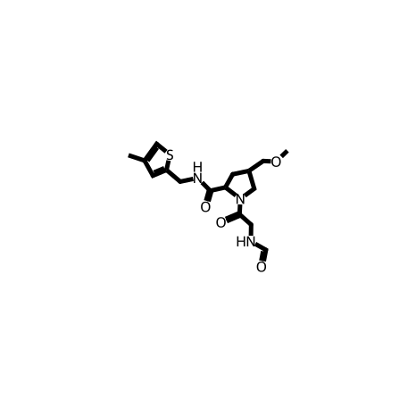 COCC1CC(C(=O)NCc2cc(C)cs2)N(C(=O)CNC=O)C1